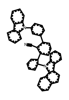 N#Cc1c(-c2cccc(-n3c4ccccc4c4ccccc43)c2)cccc1-c1ccccc1-n1c2ccccc2c2ccc3ccccc3c21